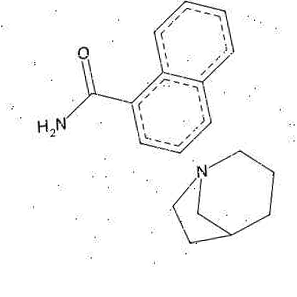 C1CC2CCN(C1)C2.NC(=O)c1cccc2ccccc12